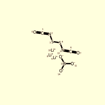 O=C=NSSN=C=O.[Li+].[Li+].[Li+].[O-]B([O-])[O-]